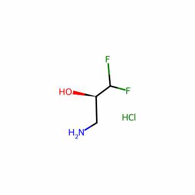 Cl.NC[C@@H](O)C(F)F